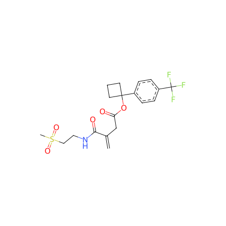 C=C(CC(=O)OC1(c2ccc(C(F)(F)F)cc2)CCC1)C(=O)NCCS(C)(=O)=O